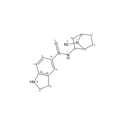 N#CN1C2CCC1C(NC(=O)c1ccc3c(c1)CCN3)C2